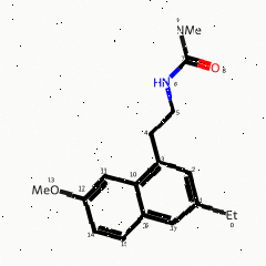 CCc1cc(CCNC(=O)NC)c2cc(OC)ccc2c1